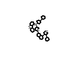 c1ccc(-c2ccc(N(c3ccc(-c4ccc5cccc(-c6ccccc6-c6ccccc6)c5c4)cc3)c3cccc4sc5ccccc5c34)cc2)cc1